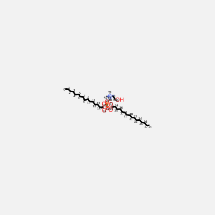 CCCCCCCCCCCCCCCC(=O)OP(=O)([O-])OC(=O)CCCCCCCCCCCCCCC.C[N+](C)(C)CCO